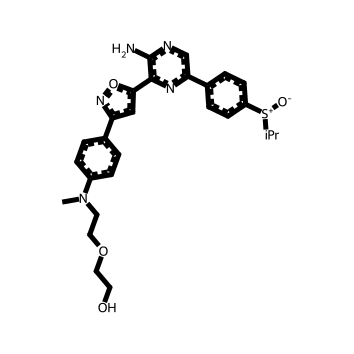 CC(C)[S+]([O-])c1ccc(-c2cnc(N)c(-c3cc(-c4ccc(N(C)CCOCCO)cc4)no3)n2)cc1